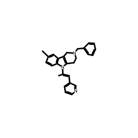 CC(=Cc1cccnc1)n1c2c(c3cc(C)ccc31)CN(Cc1ccccc1)CC2